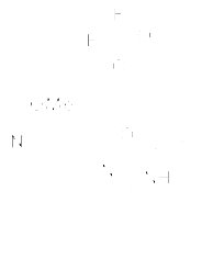 COc1cc(-c2cc(C)cc(NC(=O)C3(c4ccc5c(c4)OC(F)(F)O5)CC3)n2)ccn1